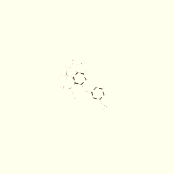 N#Cc1cc(F)cc(Oc2ccc3c(c2C(F)F)C(O)CS3(O)O)c1